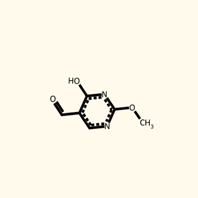 COc1ncc(C=O)c(O)n1